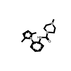 Cc1ccc(C)n1-c1ccccc1NC(=O)N1CCN(C)CC1